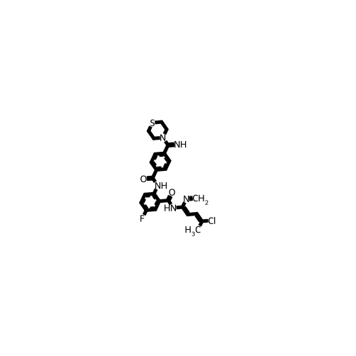 C=N/C(=C\C=C(/C)Cl)NC(=O)c1cc(F)ccc1NC(=O)c1ccc(C(=N)N2CCSCC2)cc1